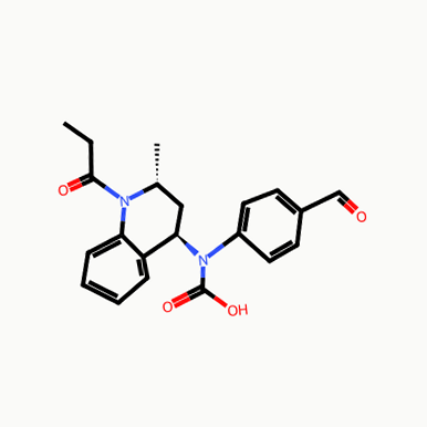 CCC(=O)N1c2ccccc2[C@H](N(C(=O)O)c2ccc(C=O)cc2)C[C@H]1C